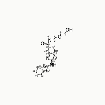 CN(CCOCCO)C(=O)c1ccc2oc(Nc3nc4ccccc4o3)nc2c1